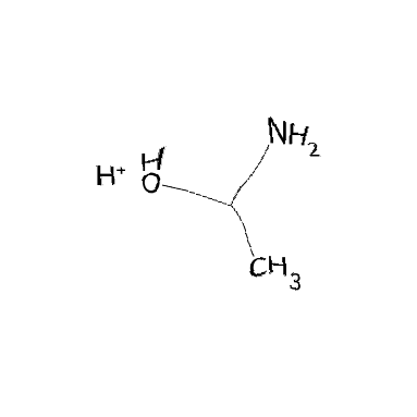 CC(N)O.[H+]